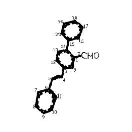 O=Cc1cc(C=Cc2ccccc2)ccc1-c1ccccc1